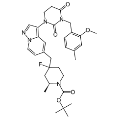 COc1cc(C)ccc1CN1C(=O)CCN(c2cnn3ccc(CC4(F)CCN(C(=O)OC(C)(C)C)[C@@H](C)C4)cc23)C1=O